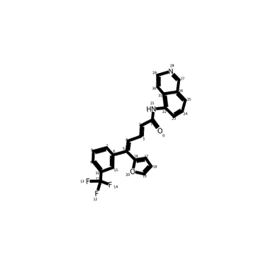 O=C(/C=C/C=C(/c1cccc(C(F)(F)F)c1)c1ccco1)Nc1cccc2cnccc12